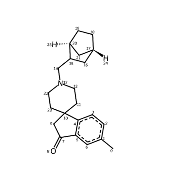 Cc1ccc2c(c1)C(=O)CC21CCN(CC2C[C@H]3CC[C@H]2C3)CC1